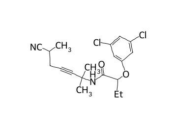 CCC(Oc1cc(Cl)cc(Cl)c1)C(=O)NC(C)(C)C#CCC(C)C#N